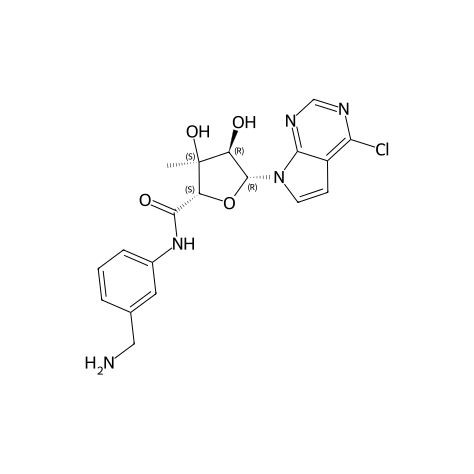 C[C@@]1(O)[C@@H](C(=O)Nc2cccc(CN)c2)O[C@@H](n2ccc3c(Cl)ncnc32)[C@@H]1O